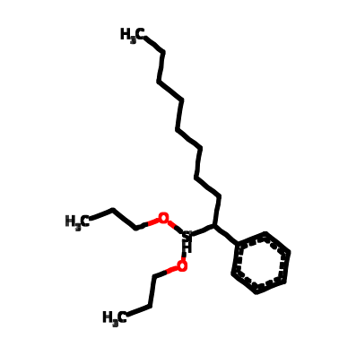 CCCCCCCCC(c1ccccc1)[SiH](OCCC)OCCC